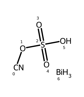 N#COS(=O)(=O)O.[BiH3]